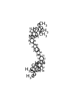 COC(=O)NC(C(=O)N1CCCC1c1nc2ccc(C3Cc4cc5c(cc4C3)CC(c3ccc4nc(C6CCCN6C(=O)C(NC(=O)OC)C(C)C)[nH]c4c3)C5)cc2[nH]1)C(C)C